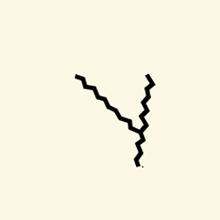 [CH2]CCCCC(CCCCCCCC)CCCCCCCCCCC